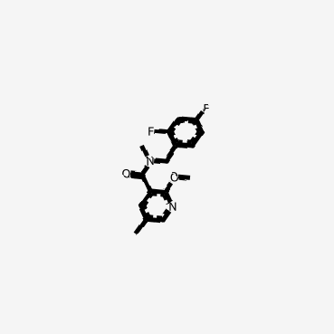 COc1ncc(C)cc1C(=O)N(C)Cc1ccc(F)cc1F